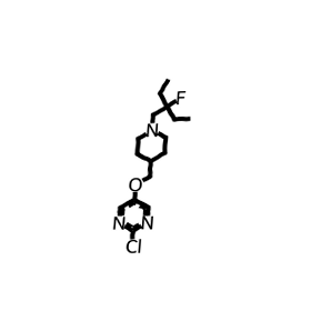 CCC(F)(CC)CN1CCC(COc2cnc(Cl)nc2)CC1